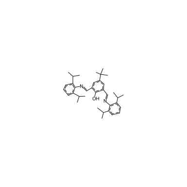 CC(C)c1cccc(C(C)C)c1/N=C/c1cc(C(C)(C)C)cc(/C=N/c2c(C(C)C)cccc2C(C)C)c1O